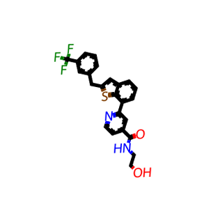 O=C(NCCO)c1ccnc(-c2cccc3cc(Cc4cccc(C(F)(F)F)c4)sc23)c1